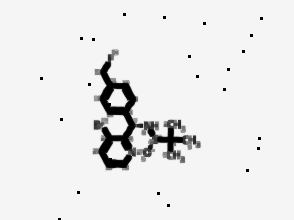 CC(C)(C)[S@+]([O-])N[C@@H](c1ccc(CF)cc1)c1ncccc1Br